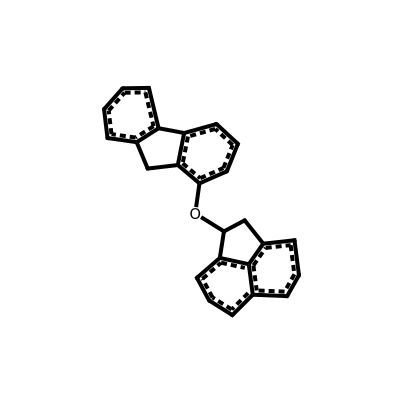 c1ccc2c(c1)Cc1c(OC3Cc4cccc5cccc3c45)cccc1-2